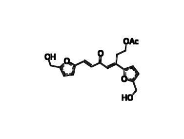 CC(=O)OCC/C(=C\C(=O)/C=C/c1ccc(CO)o1)c1ccc(CO)o1